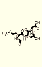 CSCC[C@H](NC=O)C(=O)N[C@@H](CC(=O)O)C(=O)NCC(=O)O